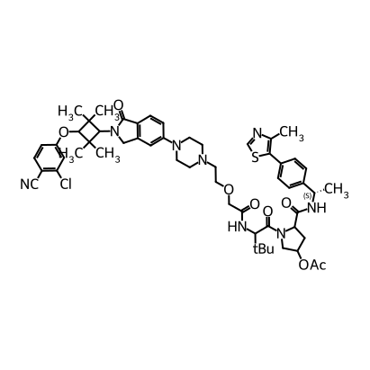 CC(=O)OC1CC(C(=O)N[C@@H](C)c2ccc(-c3scnc3C)cc2)N(C(=O)C(NC(=O)COCCN2CCN(c3ccc4c(c3)CN(C3C(C)(C)C(Oc5ccc(C#N)c(Cl)c5)C3(C)C)C4=O)CC2)C(C)(C)C)C1